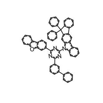 c1ccc(-c2cccc(-c3nc(-c4ccc5c(c4)oc4ccccc45)nc(-n4c5ccccc5c5cc6c(cc54)C(c4ccccc4)(c4ccccc4)c4ccccc4-6)n3)c2)cc1